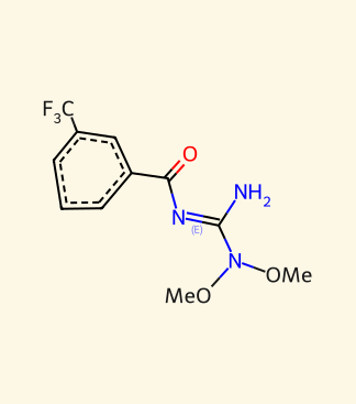 CON(OC)/C(N)=N/C(=O)c1cccc(C(F)(F)F)c1